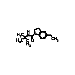 CCc1ccc2c(c1)CCN2C(=O)NC(C)(C)C